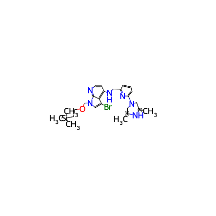 C[C@@H]1CN(c2cccc(CNc3ccnc4c3c(Br)cn4COCC[Si](C)(C)C)n2)C[C@H](C)N1